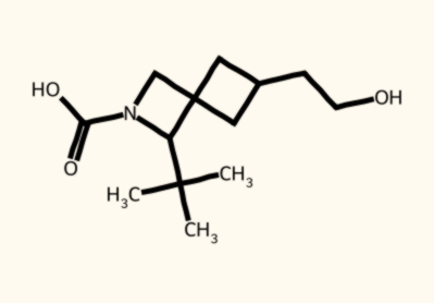 CC(C)(C)C1N(C(=O)O)CC12CC(CCO)C2